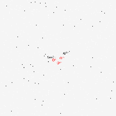 [Al+3].[O-2].[O-2].[O-2].[Sm+3]